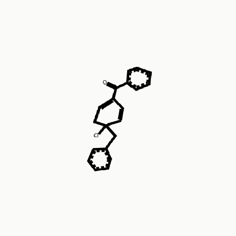 O=C(C1=CCC(Cl)(Cc2ccccc2)C=C1)c1ccccc1